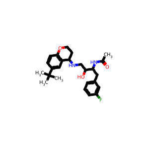 CC(=O)NC(Cc1cccc(F)c1)C(O)CNC1CCOc2ccc(C(C)(C)C)cc21